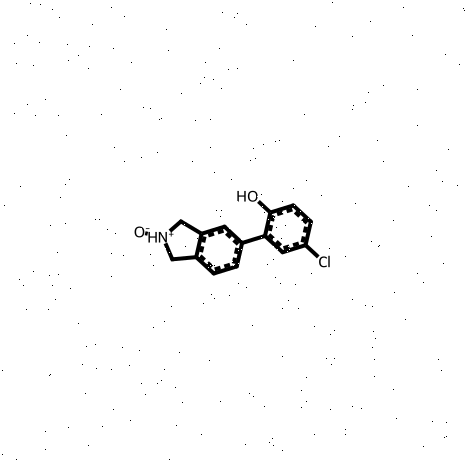 [O-][NH+]1Cc2ccc(-c3cc(Cl)ccc3O)cc2C1